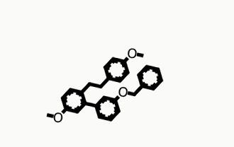 COc1ccc(CCc2ccc(OC)cc2-c2cccc(OCc3ccccc3)c2)cc1